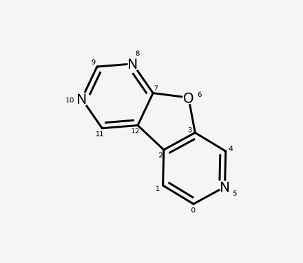 c1cc2c(cn1)oc1ncncc12